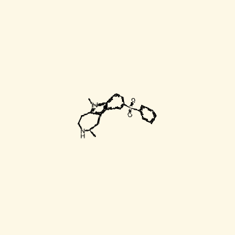 CC1Cc2c(n(C)c3ccc(S(=O)(=O)c4ccccc4)cc23)CCN1